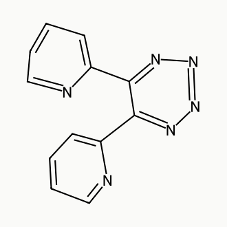 c1ccc(-c2nnnnc2-c2ccccn2)nc1